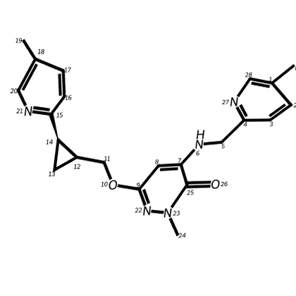 Cc1ccc(CNc2cc(OCC3C[C@H]3c3ccc(C)cn3)nn(C)c2=O)nc1